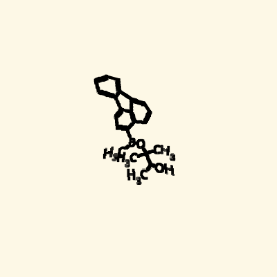 CB(OC(C)(C)C(C)O)c1ccc2c3c(cccc13)-c1ccccc1-2